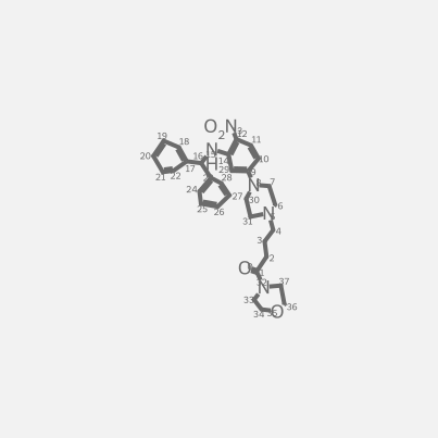 O=C(CCCN1CCN(c2ccc([N+](=O)[O-])c(NC(c3ccccc3)c3ccccc3)c2)CC1)N1CCOCC1